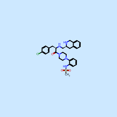 CS(=O)(=O)Nc1ccccc1N1CCN(C(=O)[C@@H](Cc2ccc(Cl)cc2)NC[C@@H]2Cc3ccccc3CN2)CC1